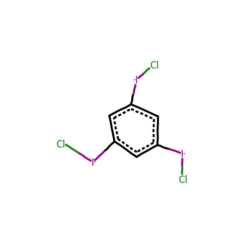 Cl[I]c1cc([I]Cl)cc([I]Cl)c1